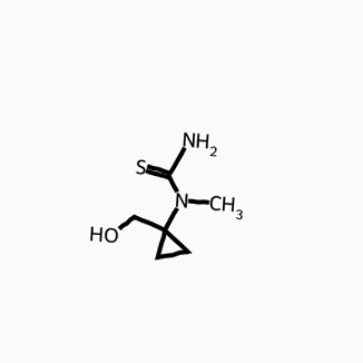 CN(C(N)=S)C1(CO)CC1